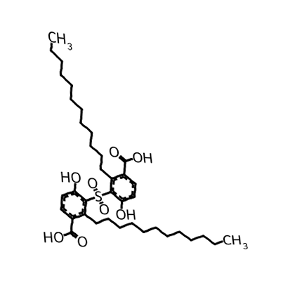 CCCCCCCCCCCCc1c(C(=O)O)ccc(O)c1S(=O)(=O)c1c(O)ccc(C(=O)O)c1CCCCCCCCCCCC